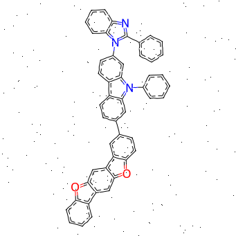 c1ccc(-c2nc3ccccc3n2-c2ccc3c4ccc(-c5ccc6oc7cc8c(cc7c6c5)oc5ccccc58)cc4n(-c4ccccc4)c3c2)cc1